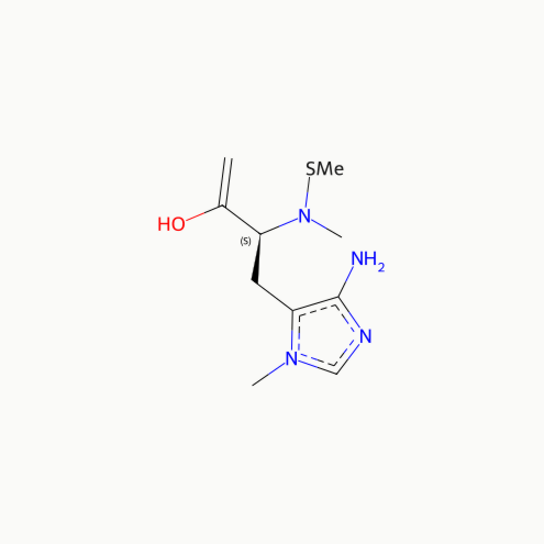 C=C(O)[C@H](Cc1c(N)ncn1C)N(C)SC